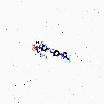 Cc1nc(NCc2ccc(-n3ccc(C(F)(F)F)n3)cc2)cc2c1NC(O)CN2C